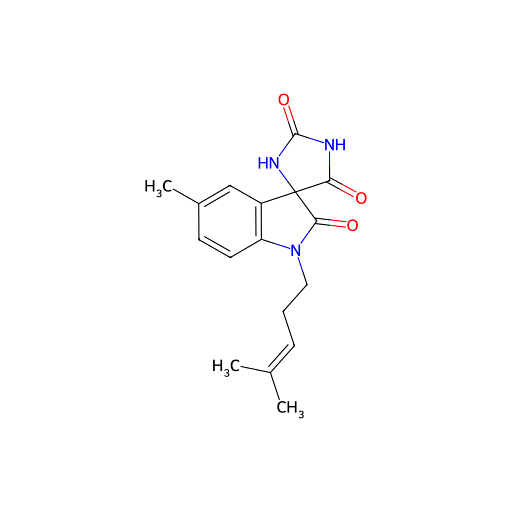 CC(C)=CCCN1C(=O)C2(NC(=O)NC2=O)c2cc(C)ccc21